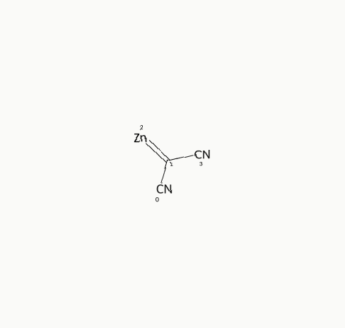 N#C[C](=[Zn])C#N